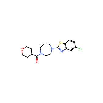 O=C(C1CCOCC1)N1CCCN(c2nc3cc(Cl)ccc3s2)CC1